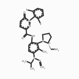 C=NN(c1ccc(NC(=O)c2ccc(=O)n(-c3c(F)cccc3F)n2)c(N2CCC[C@@H]2CN)c1C)C(C)C